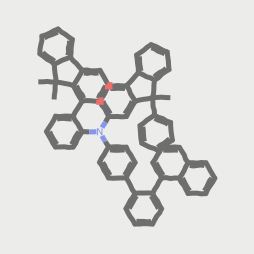 CC1(C)c2ccccc2-c2cccc(-c3ccccc3N(c3ccc(-c4ccccc4-c4cccc5ccccc45)cc3)c3ccc4c(c3)C(C)(c3ccccc3)c3ccccc3-4)c21